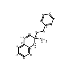 NC1(CCc2ccccc2)C=Nc2ccccc2O1